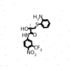 C[C@](O)(CSc1ccccc1N)C(=O)Nc1ccc([N+](=O)[O-])c(C(F)(F)F)c1